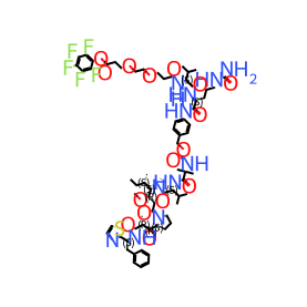 CC[C@H](C)[C@@H]([C@@H](CC(=O)N1CCC[C@H]1[C@H](OC)[C@@H](C)C(=O)N[C@@H](Cc1ccccc1)c1nccs1)OC)N(C)C(=O)[C@@H](NC(=O)C(C)(C)NC(=O)OCc1ccc(NC(=O)[C@H](CCCNC(N)=O)NC(=O)[C@@H](NC(=O)CCOCCOCCC(=O)Oc2c(F)c(F)c(F)c(F)c2F)C(C)C)cc1)C(C)C